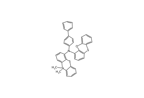 C[Si]1(C)c2ccccc2Sc2c(N(c3ccc(-c4ccccc4)cc3)c3cccc4c3Oc3ccccc3S4)cccc21